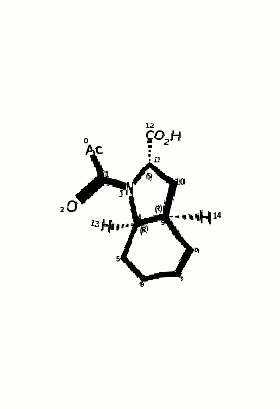 CC(=O)C(=O)N1[C@@H]2CCCC[C@@H]2C[C@H]1C(=O)O